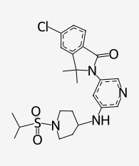 CC(C)S(=O)(=O)N1CCC(Nc2cncc(N3C(=O)c4ccc(Cl)cc4C3(C)C)c2)CC1